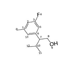 Cc1cc(F)cc(C(CO)C(C)C)c1